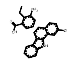 CCc1c(N)cccc1C(=O)O.Oc1ccc2ccc3c4ccccc4[nH]c3c2c1